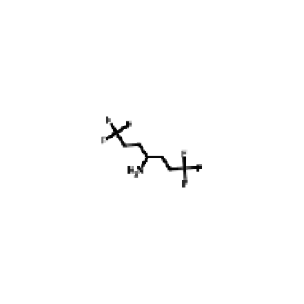 NC(CCC(F)(F)F)CCC(F)(F)F